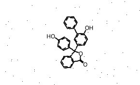 O=C1OC(c2ccc(O)cc2)(c2ccc(O)c(-c3ccccc3)c2)c2ccccc21